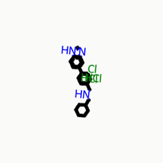 Cl.Cl.Clc1cc(CNCC2CCCCC2)ccc1-c1ccc2[nH]cnc2c1